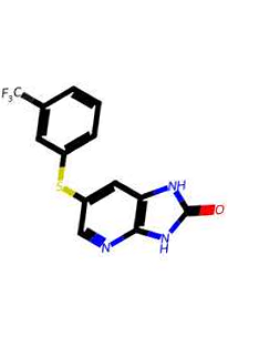 O=c1[nH]c2cc(Sc3cccc(C(F)(F)F)c3)cnc2[nH]1